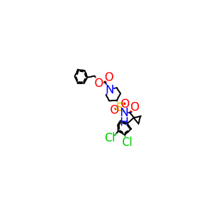 O=C(OCc1ccccc1)N1CCC(S(=O)(=O)NC(=O)C2(c3ccc(Cl)c(Cl)c3)CC2)CC1